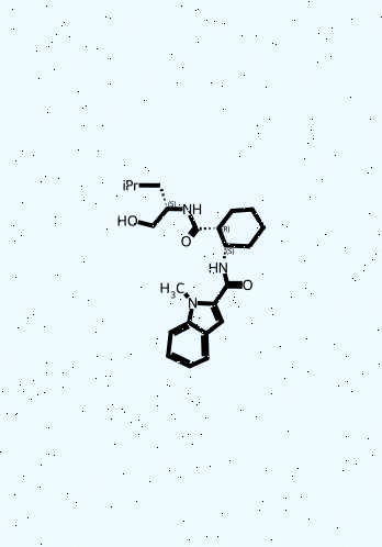 CC(C)C[C@@H](CO)NC(=O)[C@@H]1CCCC[C@@H]1NC(=O)c1cc2ccccc2n1C